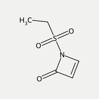 CCS(=O)(=O)N1C=CC1=O